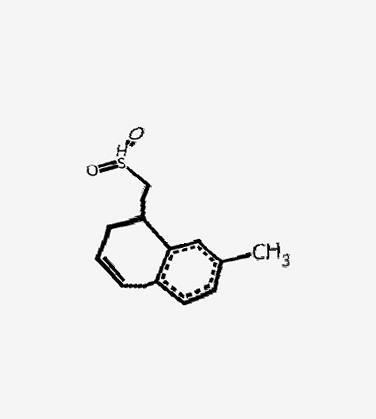 Cc1ccc2c(c1)C(C[SH](=O)=O)CC=C2